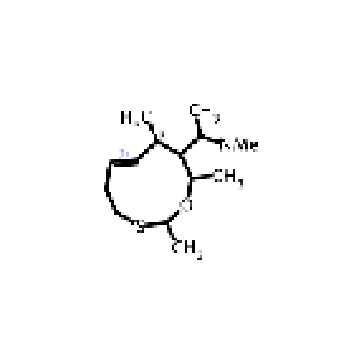 CNC(C)C1C(C)OC(C)SCC/C=C/[C@H]1C